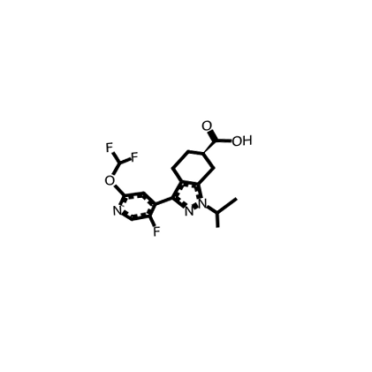 CC(C)n1nc(-c2cc(OC(F)F)ncc2F)c2c1C[C@H](C(=O)O)CC2